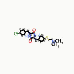 CN(C)CCSc1ccc(/C=c2\[nH]c(=O)/c(=C/c3ccc(Cl)cc3)[nH]c2=O)cc1